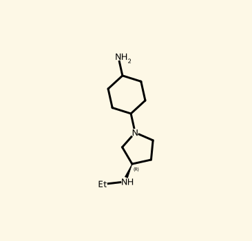 CCN[C@@H]1CCN(C2CCC(N)CC2)C1